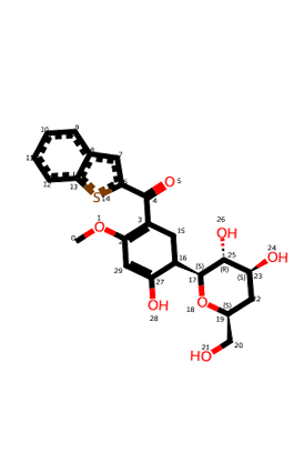 COC1=C(C(=O)c2cc3ccccc3s2)CC([C@@H]2O[C@H](CO)C[C@H](O)[C@H]2O)C(O)=C1